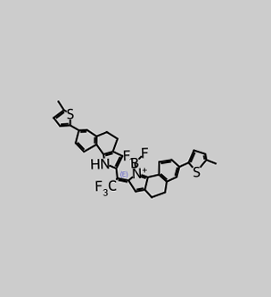 Cc1ccc(-c2ccc3c(c2)CCC2=C/C(=C(/c4cc5c([nH]4)-c4ccc(-c6ccc(C)s6)cc4CC5)C(F)(F)F)[N+](B(F)F)=C23)s1